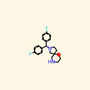 Fc1ccc(C(c2ccc(F)cc2)N2CCC3(CNCCC34OCCO4)C2)cc1